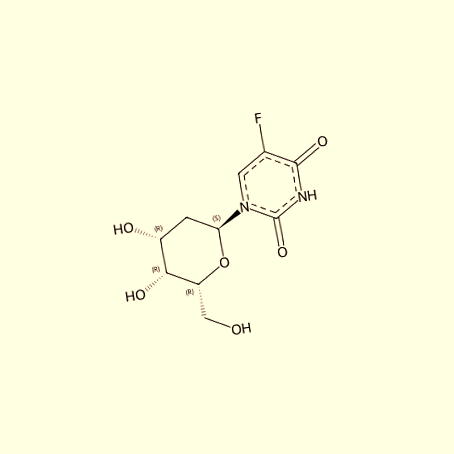 O=c1[nH]c(=O)n([C@@H]2C[C@@H](O)[C@@H](O)[C@@H](CO)O2)cc1F